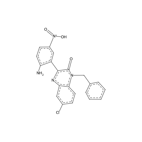 Nc1ccc([N+](=O)O)cc1-c1nc2cc(Cl)ccc2n(Cc2ccccc2)c1=O